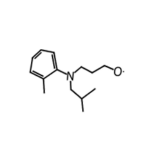 Cc1ccccc1N(CCC[O])CC(C)C